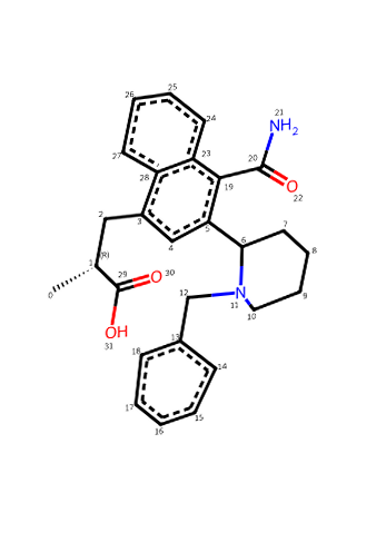 C[C@H](Cc1cc(C2CCCCN2Cc2ccccc2)c(C(N)=O)c2ccccc12)C(=O)O